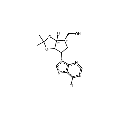 CC1(C)OC2C(n3cnc4c(Cl)ncnc43)C[C@H](CO)[C@H]2O1